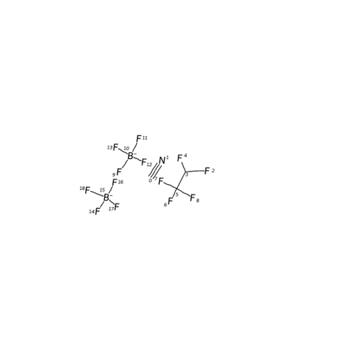 C#N.FC(F)C(F)(F)F.F[B-](F)(F)F.F[B-](F)(F)F